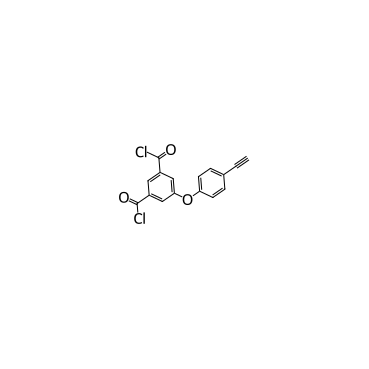 C#Cc1ccc(Oc2cc(C(=O)Cl)cc(C(=O)Cl)c2)cc1